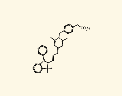 CC1=CC(=C/C=C/C2N(c3ccccc3)c3ccccc3C2(C)C)C=C(C)N1Cc1ccc(CC(=O)O)cc1